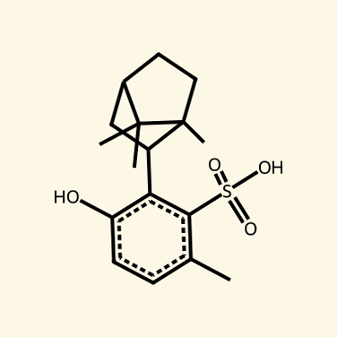 Cc1ccc(O)c(C2CC3CCC2(C)C3(C)C)c1S(=O)(=O)O